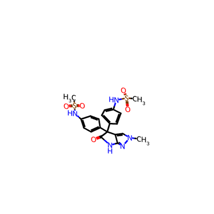 Cn1cc2c(n1)NC(=O)C2(c1ccc(NS(C)(=O)=O)cc1)c1ccc(NS(C)(=O)=O)cc1